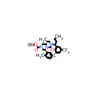 C=CCC(c1cc(C(F)(F)F)cc(C(F)(F)F)c1)N(CC=C)C(=O)N1CCN(C(=O)OC(C)(C)C)C[C@@H]1c1ccc(F)cc1C